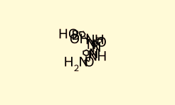 NC(=O)c1cccc2c(-c3nc(NCc4cccc(B(O)O)c4)c4c(n3)OCC4)n[nH]c12